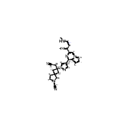 CN/C=C\C(=N)c1cn2nccc2c(-c2cnn(C3(CC#N)CC4(CCN(C#N)C4)C3)c2)n1